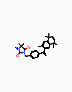 C=C(c1ccc(CN2C(=O)N(C)C(C)(C)C2=O)cc1)c1cc2c(cc1C)C(C)(C)C=CC2(C)C